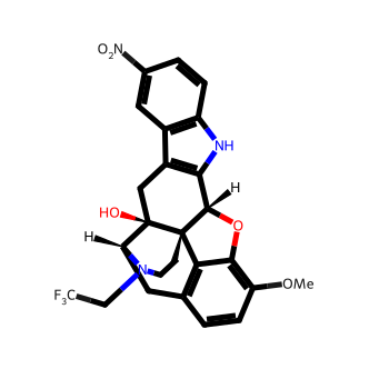 COc1ccc2c3c1O[C@H]1c4[nH]c5ccc([N+](=O)[O-])cc5c4C[C@@]4(O)[C@@H](C2)N(CC(F)(F)F)CC[C@]314